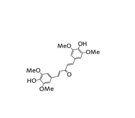 COc1cc(C=CC(=O)C=Cc2cc(OC)c(O)c(OC)c2)cc(OC)c1O